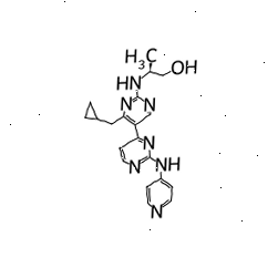 C[C@@H](CO)Nc1ncc(-c2ccnc(Nc3ccncc3)n2)c(CC2CC2)n1